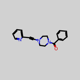 O=C(c1ccccc1)N1CCN(C#Cc2ccccn2)CC1